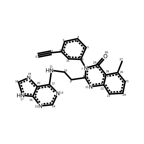 C#Cc1cccc(-n2c(CCNc3ncnc4[nH]cnc34)nc3cccc(C)c3c2=O)c1